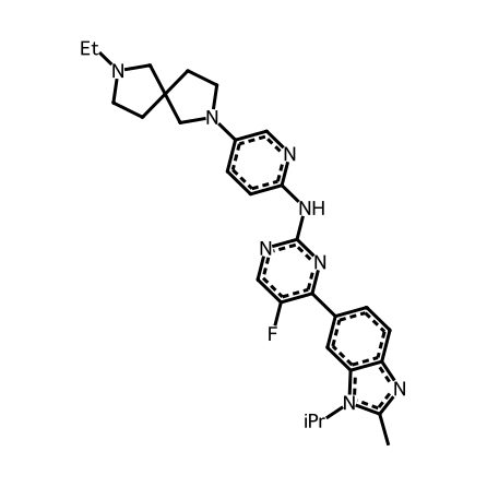 CCN1CCC2(CCN(c3ccc(Nc4ncc(F)c(-c5ccc6nc(C)n(C(C)C)c6c5)n4)nc3)C2)C1